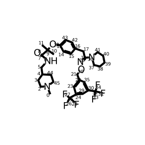 CN1CCC(CNC(=O)C(C)(C)Oc2ccc(CC(=NOCc3cc(C(F)(F)F)cc(C(F)(F)F)c3)N3CCCCC3)cc2)CC1